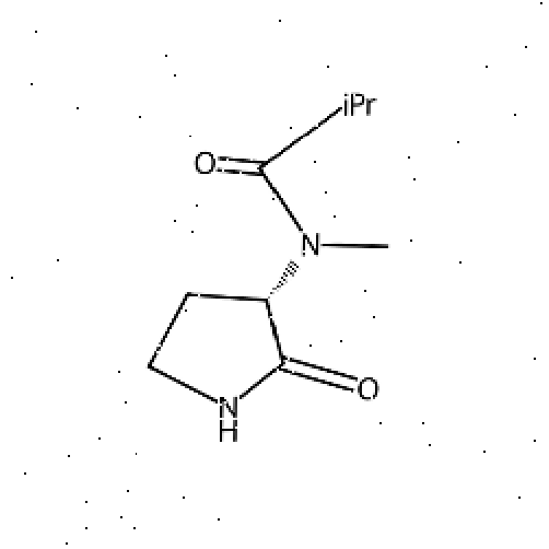 CC(C)C(=O)N(C)[C@H]1CCNC1=O